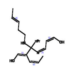 C/C=C\C(=C/O)C(CCC)(/N=C\C=C/O)NCC/C=C/C